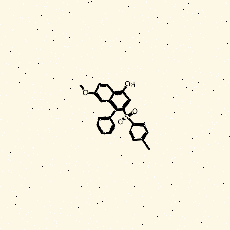 COc1ccc2c(O)cc(S(=O)(=O)c3ccc(C)cc3)c(-c3ccccc3)c2c1